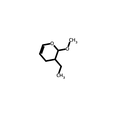 CCC1CC=COC1OC